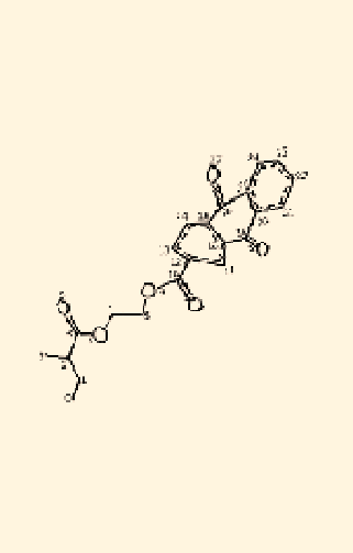 CCC(C)C(=O)OCCOC(=O)c1ccc2c(c1)C(=O)c1ccccc1C2=O